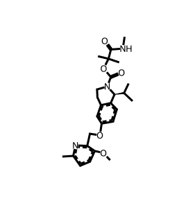 CNC(=O)C(C)(C)OC(=O)N1CCc2cc(OCc3nc(C)ccc3OC)ccc2[C@@H]1C(C)C